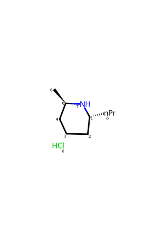 CCC[C@@H]1CCC[C@@H](C)N1.Cl